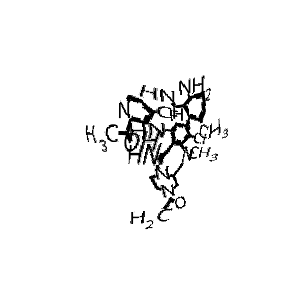 C=CC(=O)N1CCN2C(=N)c3c(Nc4c(C)ccnc4C(C)O)c(F)c(-c4c(C)ccc(N)c4C=N)c(Cl)c3N(C)CC2C1